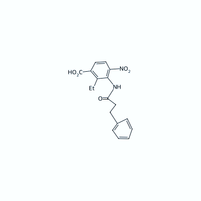 CCc1c(C(=O)O)ccc([N+](=O)[O-])c1NC(=O)CCc1ccccc1